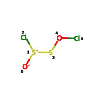 [O-][S+](Cl)SOCl